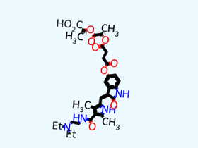 CCN(CC)CCNC(=O)c1c(C)[nH]c(C=C2C(=O)Nc3ccc(OC(=O)CCC(=O)O[C@@H](C)C(=O)O[C@@H](C)C(=O)O)cc32)c1C